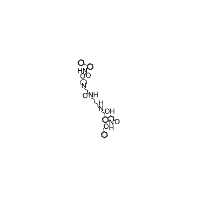 O=C(CCN1CCC(OC(=O)Nc2ccccc2-c2ccccc2)CC1)NCCCCCNC[C@H](O)c1ccc(OCc2ccccc2)c2[nH]c(=O)ccc12